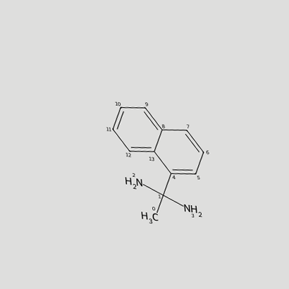 CC(N)(N)c1cccc2ccccc12